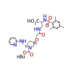 CCCCOC(=O)N1C[C@H](OCC(=O)NCC(NS(=O)(=O)c2c(C)cc(C)cc2C)C(=O)O)C[C@H]1CNc1ccccn1